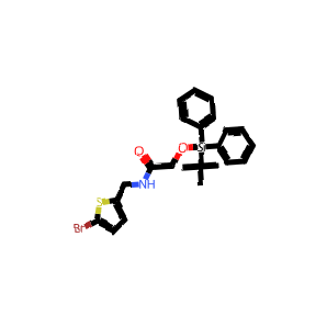 CC(C)(C)[Si](OCC(=O)NCc1ccc(Br)s1)(c1ccccc1)c1ccccc1